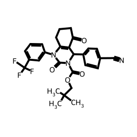 CC(C)(C)COC(=O)N1C(=O)N(c2cccc(C(F)(F)F)c2)C2=C(C(=O)CCC2)C1c1ccc(C#N)cc1